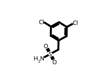 NS(=O)(=O)Cc1cc(Cl)cc(Cl)c1